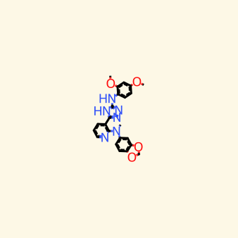 COc1ccc(Nc2nnc(-c3cccnc3N(C)c3ccc4c(c3)OCO4)[nH]2)c(OC)c1